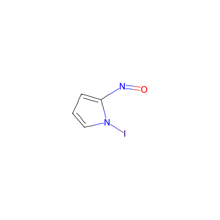 O=Nc1cccn1I